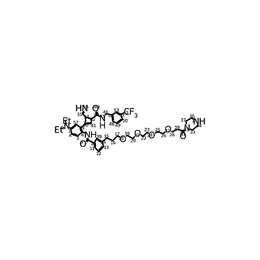 CCN(CC)c1ccc(NC(=O)c2cccc(CCCOCCOCCOCCOCCC(=O)N3CCNCC3)c2)c(C2=CC(C(=O)NCc3cccc(C(F)(F)F)c3)C2C=N)c1